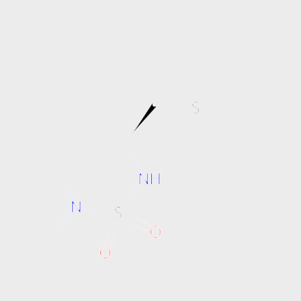 Cc1ccc([C@@H]2CCN(C)S(=O)(=O)N2)s1